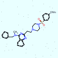 COc1ccc(S(=O)(=O)N2CCN(CCc3nc(N(C)Cc4ccccc4)c4ccccc4n3)CC2)cc1